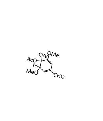 COC1=CC(C=O)=CC(I)(OC)C1(OC(C)=O)OC(C)=O